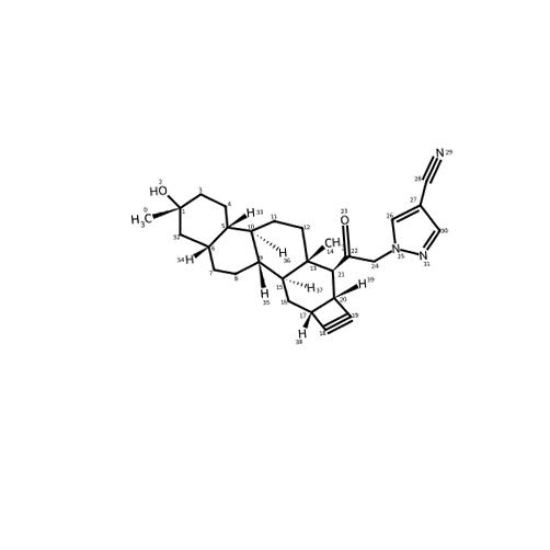 C[C@@]1(O)CC[C@H]2[C@H](CC[C@@H]3[C@@H]2CC[C@@]2(C)[C@H]3C[C@H]3C#C[C@H]3[C@@H]2C(=O)Cn2cc(C#N)cn2)C1